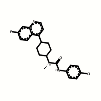 C[C@@H](C(=O)Nc1ccc(Cl)cc1)C1CCC(c2ccnc3cc(F)ccc23)CC1